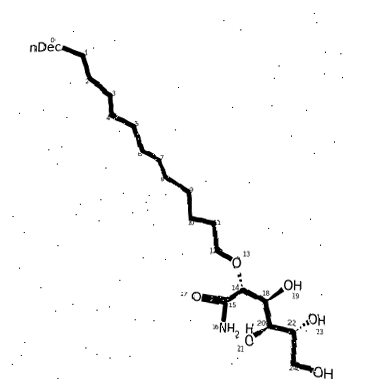 CCCCCCCCCCCCCCCCCCCCCCO[C@@H](C(N)=O)[C@@H](O)[C@H](O)[C@H](O)CO